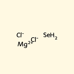 [Cl-].[Cl-].[Mg+2].[SeH2]